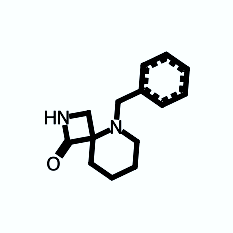 O=C1NCC12CCCCN2Cc1ccccc1